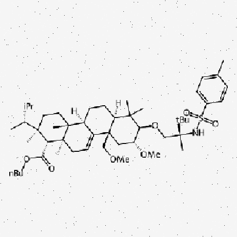 CCCCOC(=O)[C@@H]1[C@@](C)([C@H](C)C(C)C)CC[C@]2(C)[C@H]3CC[C@H]4C(C)(C)[C@@H](OC[C@@](C)(NS(=O)(=O)c5ccc(C)cc5)C(C)(C)C)[C@H](OC)C[C@]4(COC)C3=CC[C@@]12C